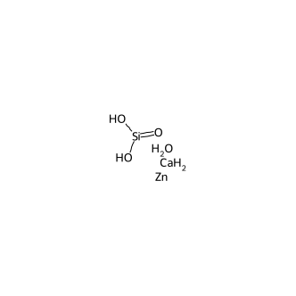 O.O=[Si](O)O.[CaH2].[Zn]